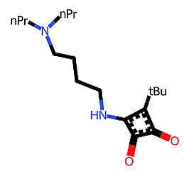 CCCN(CCC)CCCCNc1c(C(C)(C)C)c(=O)c1=O